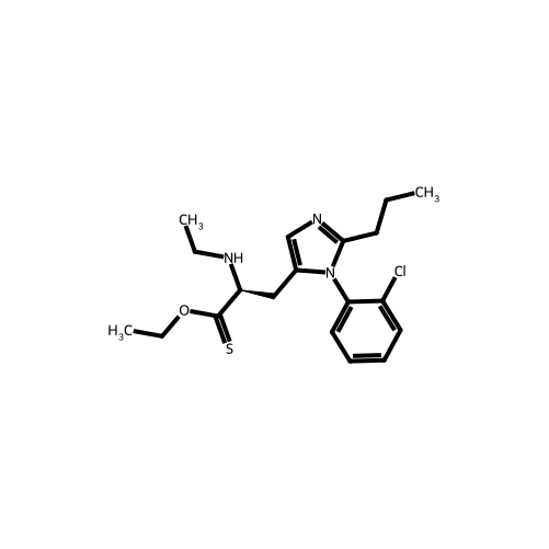 CCCc1ncc(C[C@H](NCC)C(=S)OCC)n1-c1ccccc1Cl